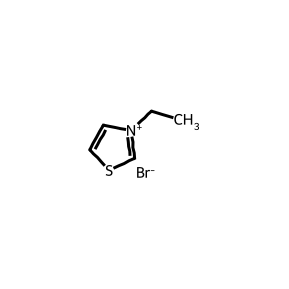 CC[n+]1ccsc1.[Br-]